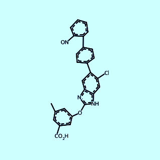 Cc1cc(Oc2nc3cc(-c4ccc(-c5ccccc5N=O)cc4)c(Cl)cc3[nH]2)cc(C(=O)O)c1